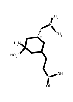 CN(C)C[C@@H]1CC(CCB(O)O)CC(N)(C(=O)O)C1